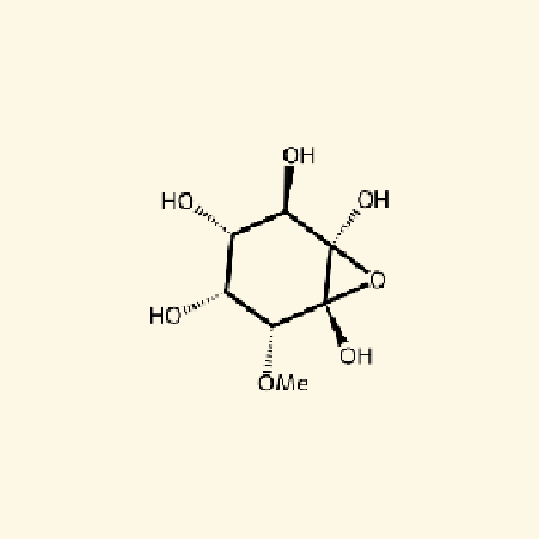 CO[C@@H]1[C@H](O)[C@H](O)[C@@H](O)[C@@]2(O)O[C@]12O